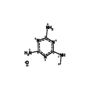 CNc1nc(N)nc(N)n1.[O]